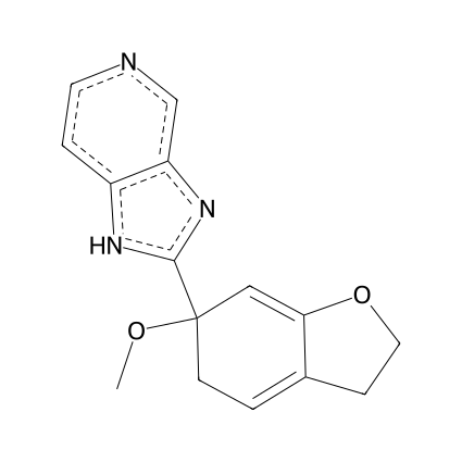 COC1(c2nc3cnccc3[nH]2)C=C2OCCC2=CC1